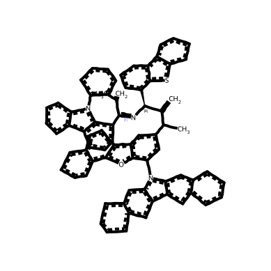 C=C(C)/C(=N\[C@H](C(=C)C(C)c1cc(-n2c3cc4ccccc4cc3c3cc4ccccc4cc32)c2oc3c4ccccc4ccc3c2c1)c1cccc2c1sc1ccccc12)c1cccc2c3ccccc3n(-c3ccccc3)c12